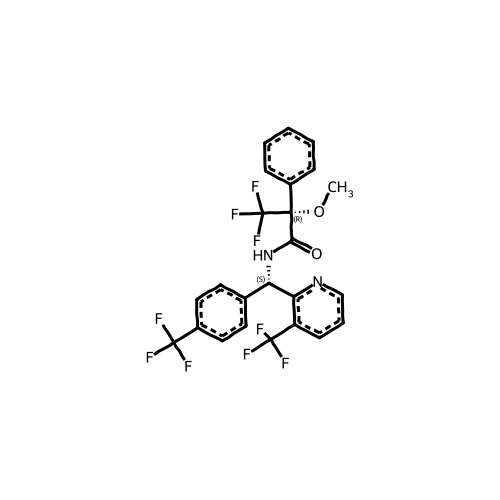 CO[C@@](C(=O)N[C@@H](c1ccc(C(F)(F)F)cc1)c1ncccc1C(F)(F)F)(c1ccccc1)C(F)(F)F